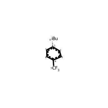 CC[C@@H](C)c1ccc(C(F)(F)F)cc1